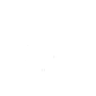 CCCC1=C(c2ccccc2)c2ccccc2C1[C]1C(C)=C(C)C(C)=C1C